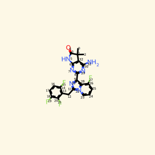 CC1(C)C(=O)Nc2nc(-c3nc(Cc4c(F)ccc(F)c4F)n4cccc(F)c34)nc(N)c21